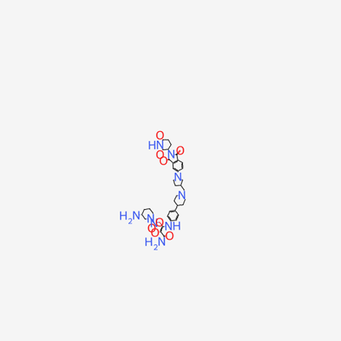 NC(=O)c1oon(N2CCC[C@@H](N)C2)oc1Nc1ccc(C2CCN(CC3CCN(c4ccc5c(c4)C(=O)N(C4CCC(=O)NC4=O)C5=O)C3)CC2)cc1